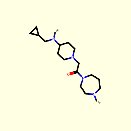 CCCN(CC1CC1)C1CCN(CC(=O)N2CCCN(C(C)C)CC2)CC1